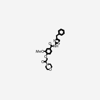 COc1cc(C(=O)Nc2nc(Cc3ccccc3)cs2)ccc1OCC(=O)N1CCOCC1